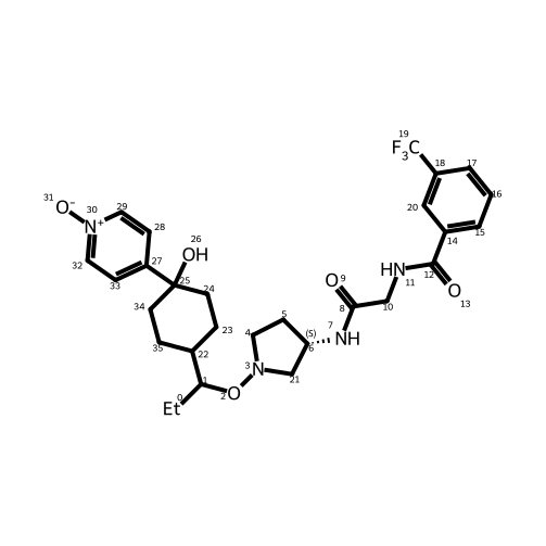 CCC(ON1CC[C@H](NC(=O)CNC(=O)c2cccc(C(F)(F)F)c2)C1)C1CCC(O)(c2cc[n+]([O-])cc2)CC1